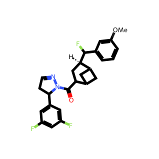 COc1cccc(C(F)[C@@H]2CC(C(=O)N3N=CCC3c3cc(F)cc(F)c3)C3CC2C3)c1